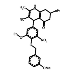 CCCC1CC(=O)C2=C(C1)NC(C)=C(C#N)C2c1cc(OCC)c(OCc2cccc(OC)c2)c([N+](=O)[O-])c1